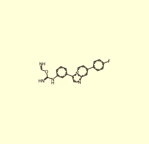 N=COC(=N)Nc1cccc(-c2cnc3cc(-c4ccc(F)cc4)ccn23)c1